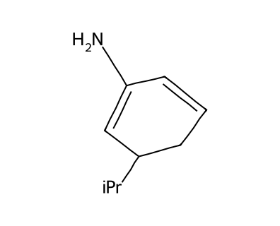 CC(C)C1C=C(N)C=CC1